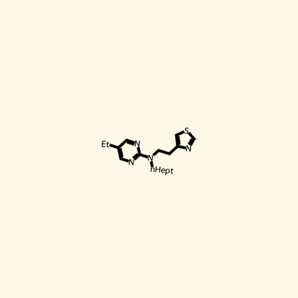 CCCCCCCN(CCc1cs[c]n1)c1ncc(CC)cn1